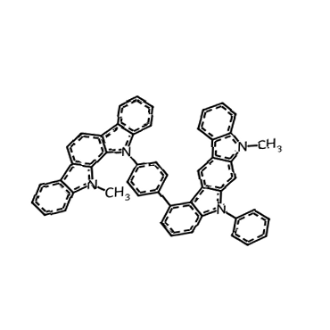 Cn1c2ccccc2c2cc3c4c(-c5ccc(-n6c7ccccc7c7ccc8c9ccccc9n(C)c8c76)cc5)cccc4n(-c4ccccc4)c3cc21